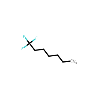 C[CH]CCCCC(F)(F)F